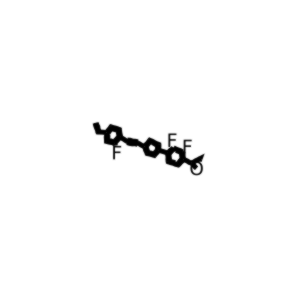 C=Cc1ccc(C#Cc2ccc(-c3ccc(C4CO4)c(F)c3F)cc2)c(F)c1